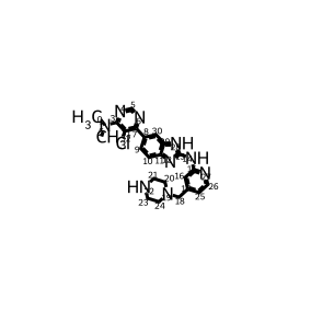 CN(C)c1ncnc(-c2ccc3nc(Nc4cc(CN5CCNCC5)ccn4)[nH]c3c2)c1Cl